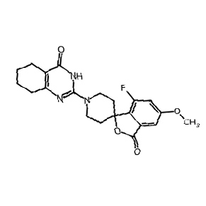 COc1cc(F)c2c(c1)C(=O)OC21CCN(c2nc3c(c(=O)[nH]2)CCCC3)CC1